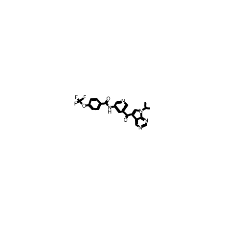 CC(C)n1cc(C(=O)c2cncc(NC(=O)c3ccc(OC(F)(F)F)cc3)c2)c2cncnc21